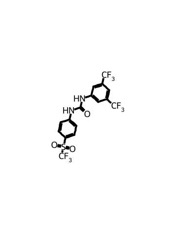 O=C(Nc1ccc(S(=O)(=O)C(F)(F)F)cc1)Nc1cc(C(F)(F)F)cc(C(F)(F)F)c1